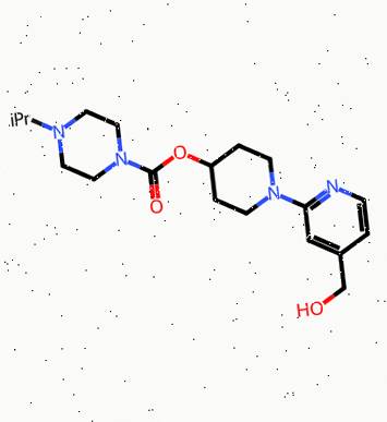 CC(C)N1CCN(C(=O)OC2CCN(c3cc(CO)ccn3)CC2)CC1